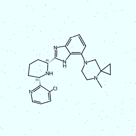 CN1CCN(c2cccc3nc([C@H]4CCC[C@@H](c5ncccc5Cl)N4)[nH]c23)CC12CC2